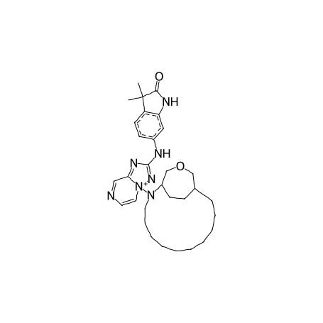 CC1(C)C(=O)Nc2cc(NC3=N[N+]4(N5CCCCCCCCCCC6CCC5COC6)C=CN=CC4=N3)ccc21